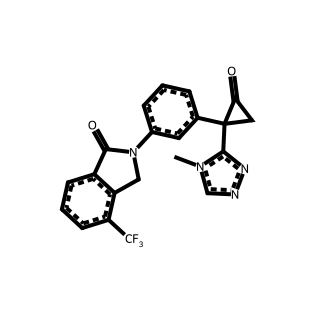 Cn1cnnc1C1(c2cccc(N3Cc4c(cccc4C(F)(F)F)C3=O)c2)CC1=O